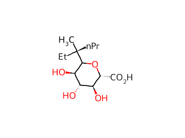 CCC[C@](C)(CC)C1O[C@H](C(=O)O)[C@@H](O)[C@H](O)[C@H]1O